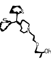 CC(O)COCCN1CCC(=C(c2cccs2)c2cccs2)CC1